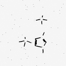 CC[n+]1ccn(C)c1.F[B-](F)(F)F.F[B-](F)(F)F